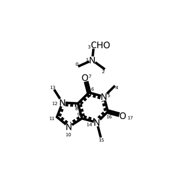 CN(C)C=O.Cn1c(=O)c2c(ncn2C)n(C)c1=O